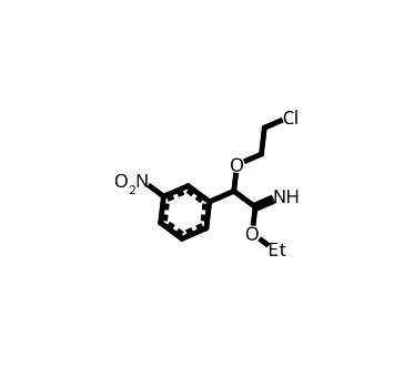 CCOC(=N)C(OCCCl)c1cccc([N+](=O)[O-])c1